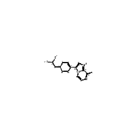 Cc1nccn2c(C3=CCC(CC(F)F)C=C3)cnc12